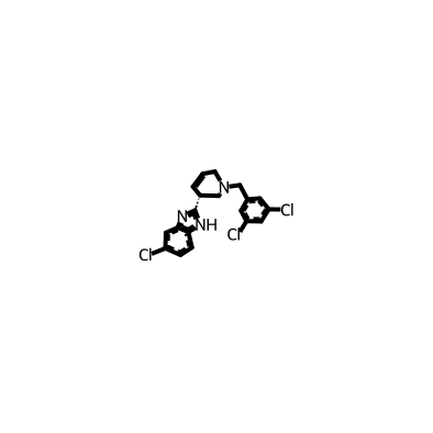 Clc1cc(Cl)cc(CN2CC=C[C@@H](c3nc4cc(Cl)ccc4[nH]3)C2)c1